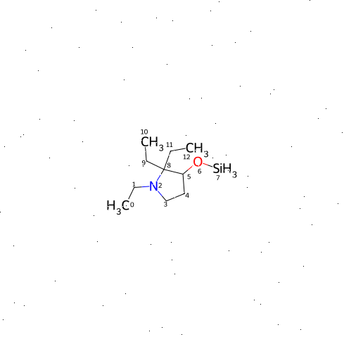 CCN1CCC(O[SiH3])C1(CC)CC